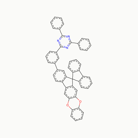 c1ccc(-c2nc(-c3ccccc3)nc(-c3cccc(-c4ccc5c(c4)C4(c6ccccc6-c6ccccc64)c4cc6c(cc4-5)Oc4ccccc4O6)c3)n2)cc1